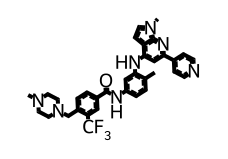 Cc1ccc(NC(=O)c2ccc(CN3CCN(C)CC3)c(C(F)(F)F)c2)cc1Nc1cc(-c2ccncc2)nc2c1ccn2C